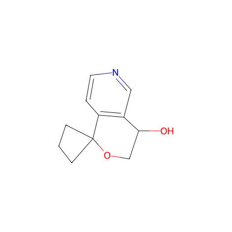 OC1COC2(CCC2)c2ccncc21